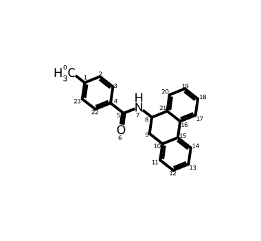 Cc1ccc(C(=O)NC2Cc3ccccc3-c3ccccc32)cc1